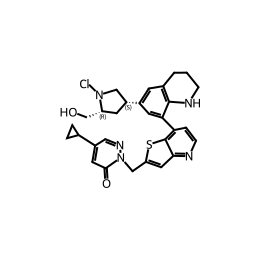 O=c1cc(C2CC2)cnn1Cc1cc2nccc(-c3cc([C@@H]4C[C@H](CO)N(Cl)C4)cc4c3NCCC4)c2s1